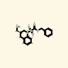 O=C(OCc1ccccc1)S(=O)(=O)N1C[C@H](CO)Cc2ccccc21